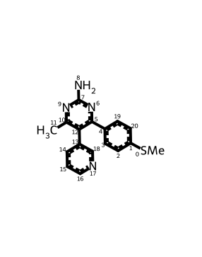 CSc1ccc(-c2nc(N)nc(C)c2-c2cccnc2)cc1